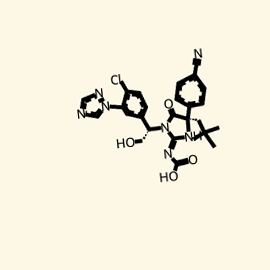 CC(C)(C)C[C@]1(c2ccc(C#N)cc2)N/C(=N\C(=O)O)N([C@H](CO)c2ccc(Cl)c(-n3cncn3)c2)C1=O